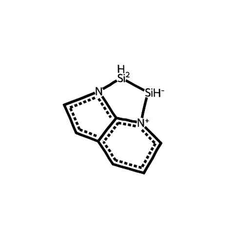 c1cc2ccn3c2[n+](c1)[SiH-][SiH2]3